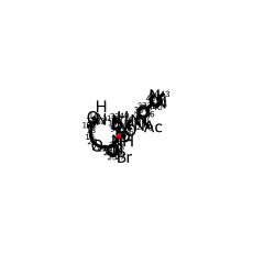 CC(=O)c1nn(CC(=O)N2[C@H]3C[C@@]4(CNC(=O)C(C)(C)CCCOCc5ccc(Br)nc5NC3=O)C[C@@H]24)c2ccc(-c3cnc(C)nc3)cc12